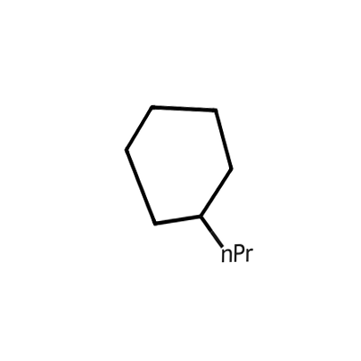 C[C]CC1CCCCC1